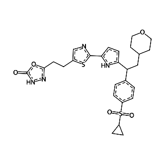 O=c1[nH]nc(CCc2cnc(-c3ccc(C(CC4CCOCC4)c4ccc(S(=O)(=O)C5CC5)cc4)[nH]3)s2)o1